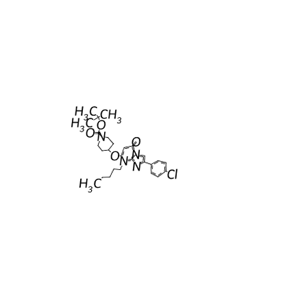 CCCCCn1c(OC2CCN(C(=O)OC(C)(C)C)CC2)cc(=O)n2cc(-c3ccc(Cl)cc3)nc12